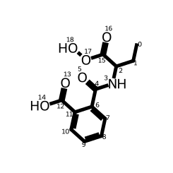 CCC(NC(=O)c1ccccc1C(=O)O)C(=O)OO